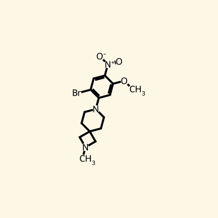 COc1cc(N2CCC3(CC2)CN(C)C3)c(Br)cc1[N+](=O)[O-]